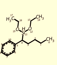 CCCCC(c1ccccc1)[SiH](OCC)OCC